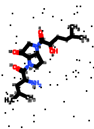 CC(C)CCC(O)C(=O)N1CC(=O)C2C1CCN2C(=O)C(N)CC(C)C